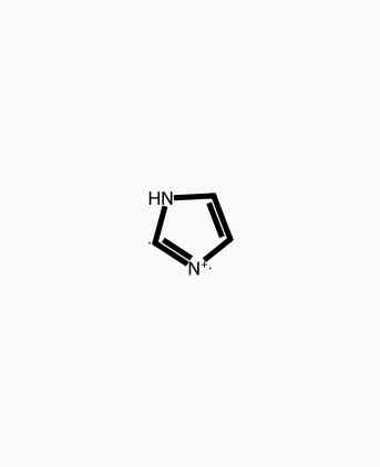 [C]1=[N+]C=CN1